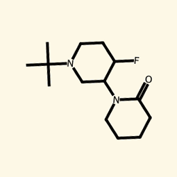 CC(C)(C)N1CCC(F)C(N2CCCCC2=O)C1